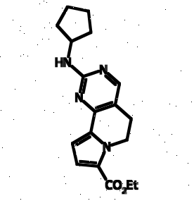 CCOC(=O)c1ccc2n1CCc1cnc(NC3CCCC3)nc1-2